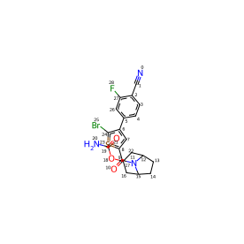 N#Cc1ccc(-c2cc(C(=O)N3C4CCC3CC(OC(N)=O)C4)sc2Br)cc1F